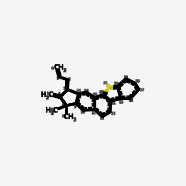 C=C/C=C1\C(=C)C(C)(C)c2cc3ccc4c5ccccc5sc4c3cc21